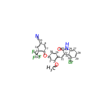 COc1cc(Oc2ccc(C#N)cc2C(F)(F)F)ccc1C=C1C(=O)Nc2cccc(Br)c21